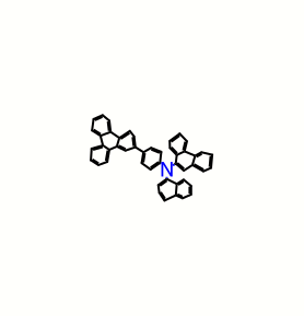 c1ccc2c(N(c3ccc(-c4ccc5c6ccccc6c6ccccc6c5c4)cc3)c3cc4ccccc4c4ccccc34)cccc2c1